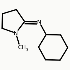 CN1CCC/C1=N/C1CCCCC1